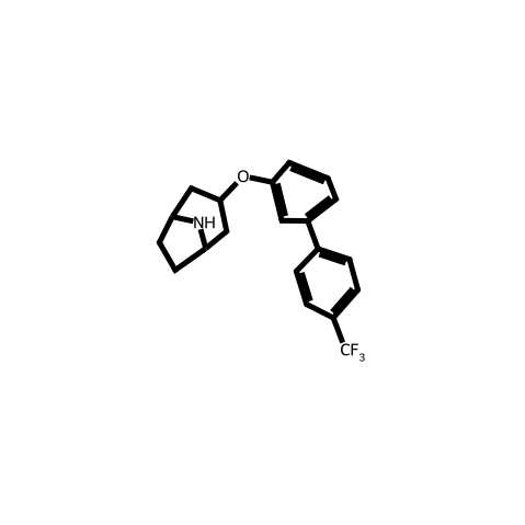 FC(F)(F)c1ccc(-c2cccc(OC3CC4CCC(C3)N4)c2)cc1